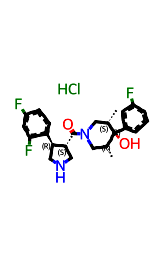 C[C@@H]1CN(C(=O)[C@@H]2CNC[C@H]2c2ccc(F)cc2F)C[C@H](C)[C@]1(O)c1cccc(F)c1.Cl